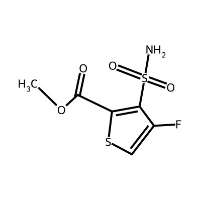 COC(=O)c1scc(F)c1S(N)(=O)=O